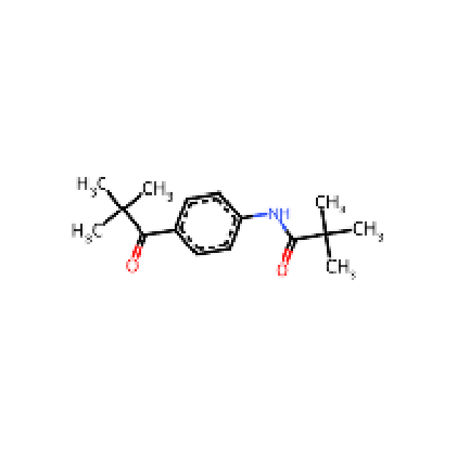 CC(C)(C)C(=O)Nc1ccc(C(=O)C(C)(C)C)cc1